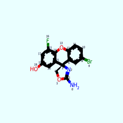 NC1=N[C@@]2(CO1)c1cc(Br)ccc1Oc1c(F)cc(O)cc12